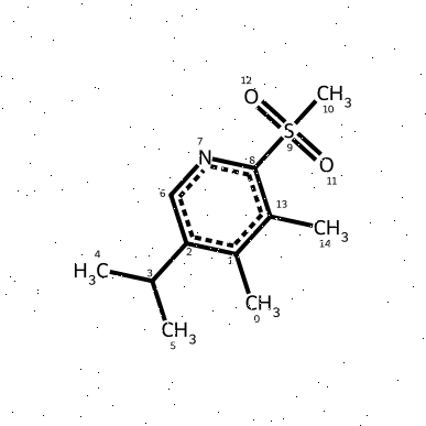 Cc1c(C(C)C)cnc(S(C)(=O)=O)c1C